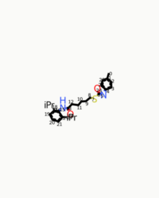 Cc1ccc2nc(SCCCCCC(=O)Nc3c(C(C)C)cccc3C(C)C)oc2c1